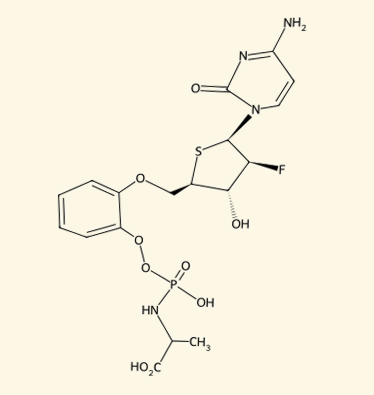 CC(NP(=O)(O)OOc1ccccc1OC[C@H]1S[C@@H](n2ccc(N)nc2=O)[C@@H](F)[C@@H]1O)C(=O)O